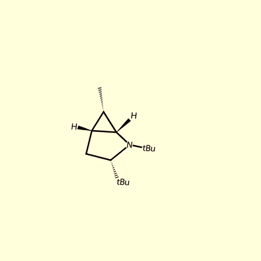 C[C@H]1[C@H]2C[C@@H](C(C)(C)C)N(C(C)(C)C)[C@@H]12